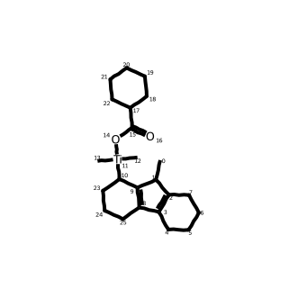 CC1C2=C(CCCC2)C2=C1[CH]([Ti]([CH3])([CH3])[O]C(=O)C1CCCCC1)CCC2